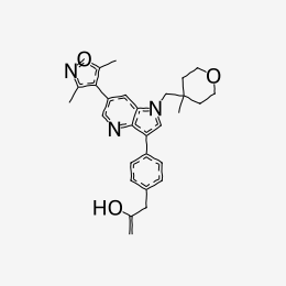 C=C(O)Cc1ccc(-c2cn(CC3(C)CCOCC3)c3cc(-c4c(C)noc4C)cnc23)cc1